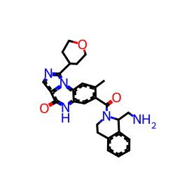 Cc1cc2c(cc1C(=O)N1CCc3ccccc3C1CN)[nH]c(=O)c1cnc(C3CCOCC3)n12